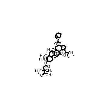 CC(C)[C@@H]1CC[C@]2(CC(=O)N3CC4CCC3C4)CC[C@]3(C)[C@H](CC[C@@H]4[C@@]5(C)CC[C@H](OC(=O)CC(C)(C)C(=O)O)C(C)(C)[C@@H]5CC[C@]43C)[C@@H]12